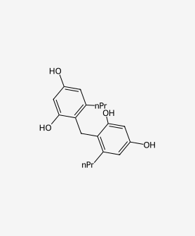 CCCc1cc(O)cc(O)c1Cc1c(O)cc(O)cc1CCC